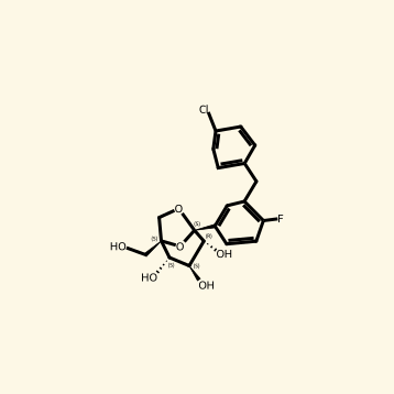 OC[C@@]12CO[C@@](c3ccc(F)c(Cc4ccc(Cl)cc4)c3)(O1)[C@H](O)[C@@H](O)[C@@H]2O